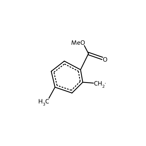 [CH2]c1cc(C)ccc1C(=O)OC